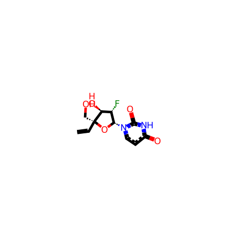 C=C[C@]1(CO)O[C@@H](n2ccc(=O)[nH]c2=O)[C@@H](F)[C@@H]1O